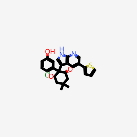 CC1(C)CC(=O)C(c2cc(O)ccc2Cl)(c2c[nH]c3ncc(-c4cccs4)cc23)C(=O)C1